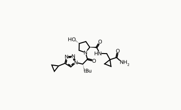 CC(C)(C)[C@@H](C(=O)N1C[C@H](O)C[C@H]1C(=O)NCC1(C(N)=O)CC1)n1cc(C2CC2)nn1